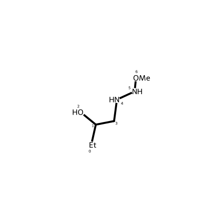 CCC(O)CNNOC